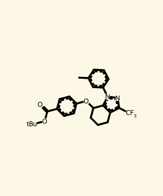 Cc1cccc(-n2nc(C(F)(F)F)c3c2C(Oc2ccc(C(=O)OC(C)(C)C)cc2)CCC3)c1